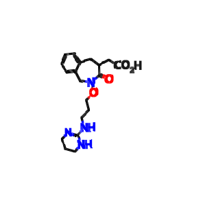 O=C(O)CC1Cc2ccccc2CN(OCCCNC2=NCCCN2)C1=O